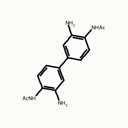 CC(=O)Nc1ccc(-c2ccc(NC(C)=O)c(N)c2)cc1N